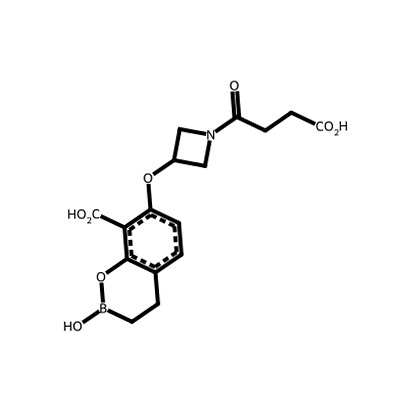 O=C(O)CCC(=O)N1CC(Oc2ccc3c(c2C(=O)O)OB(O)CC3)C1